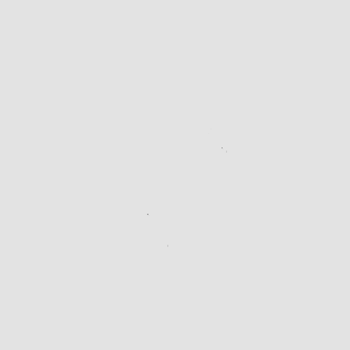 CN1CCCc2c1ccc1nc(Cl)sc21